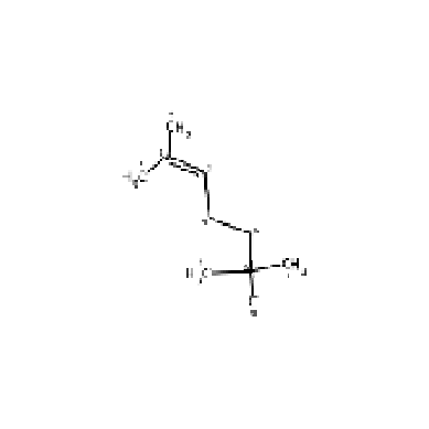 CC(C)=CCCC(C)(C)Cl